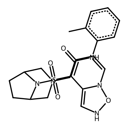 Cc1ccccc1NC(=O)CN1CC2CCC(C1)N2S(=O)(=O)C1=CC=CN2ONC=C12